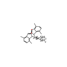 CC1=Cc2c(C)ccc(C)c2[CH]1[Hf]([CH3])([CH3])([CH]1C(C)=Cc2c(C)ccc(C)c21)=[Si]1[SiH2][SiH2]1